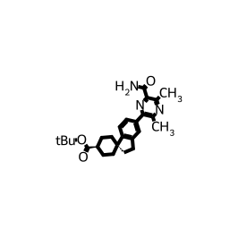 Cc1nc(C)c(-c2ccc3c(c2)CC[C@]32CC[C@H](C(=O)OC(C)(C)C)CC2)nc1C(N)=O